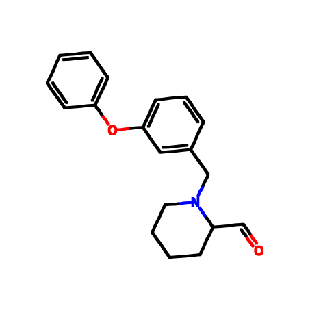 O=CC1CCCCN1Cc1cccc(Oc2ccccc2)c1